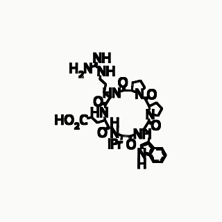 CC(C)C1NC(=O)C(CCC(=O)O)NC(=O)C(CCCNC(=N)N)NC(=O)C2CCCN2C(=O)C2CCCN2C(=O)C(Cc2c[nH]c3ccccc23)NC1=O